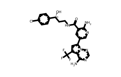 Nc1ncc(-c2cc(C(F)(F)F)c3c(N)ncnn23)cc1C(=O)NCC[C@@H](O)c1ccc(Cl)cc1